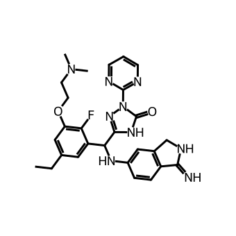 CCc1cc(OCCN(C)C)c(F)c(C(Nc2ccc3c(c2)CNC3=N)c2nn(-c3ncccn3)c(=O)[nH]2)c1